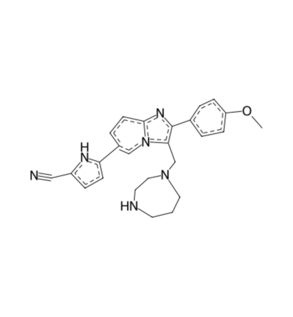 COc1ccc(-c2nc3ccc(-c4ccc(C#N)[nH]4)cn3c2CN2CCCNCC2)cc1